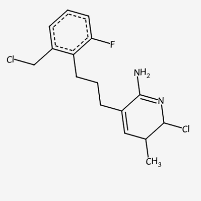 CC1C=C(CCCc2c(F)cccc2CCl)C(N)=NC1Cl